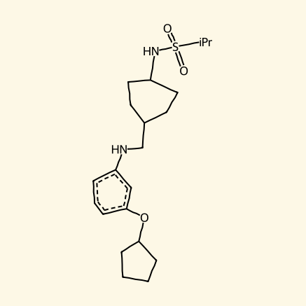 CC(C)S(=O)(=O)NC1CCC(CNc2cccc(OC3CCCC3)c2)CC1